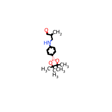 C=C(C=O)CNc1ccc(B2OC(C)(C)C(C)(C)O2)cc1